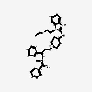 CCOCCn1c(NC2CCN(CCC(CN(C)C(=O)c3ccccc3)c3ccccc3)CC2)nc2ccccc21